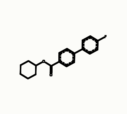 O=C(OC1CCCCC1)c1ccc(-c2ccc(F)cc2)cc1